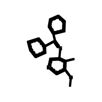 COc1cncc(N=C(c2ccccc2)c2ccccc2)c1C